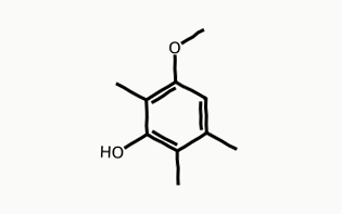 COc1cc(C)c(C)c(O)c1C